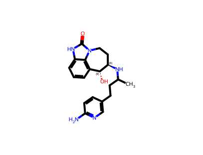 CC(CCc1ccc(N)nc1)N[C@@H]1CCn2c(=O)[nH]c3cccc(c32)[C@H]1O